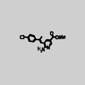 COC(=O)c1cnc(N)c(/C=C(\C)c2ccc(Cl)cc2)c1